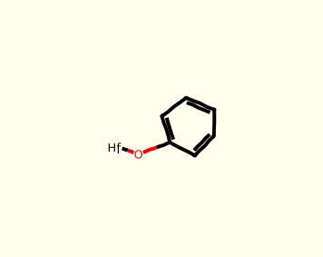 [Hf][O]c1ccccc1